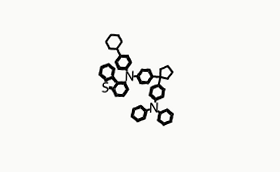 c1ccc(N(c2ccccc2)c2ccc(C3(c4ccc(N(c5ccc(C6CCCCC6)cc5)c5cccc6sc7ccccc7c56)cc4)CCCC3)cc2)cc1